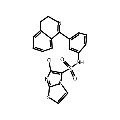 O=S(=O)(Nc1cccc(C2=NCCc3ccccc32)c1)c1c(Cl)nc2sccn12